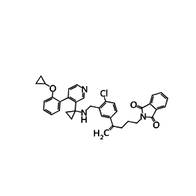 C=C(CCCN1C(=O)c2ccccc2C1=O)c1ccc(Cl)c(CNC2(c3cnccc3-c3ccccc3OC3CC3)CC2)c1